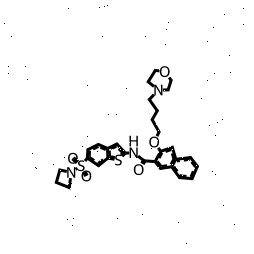 O=C(Nc1cc2ccc(S(=O)(=O)N3CCC3)cc2s1)c1cc2ccccc2cc1OCCCCN1CCOCC1